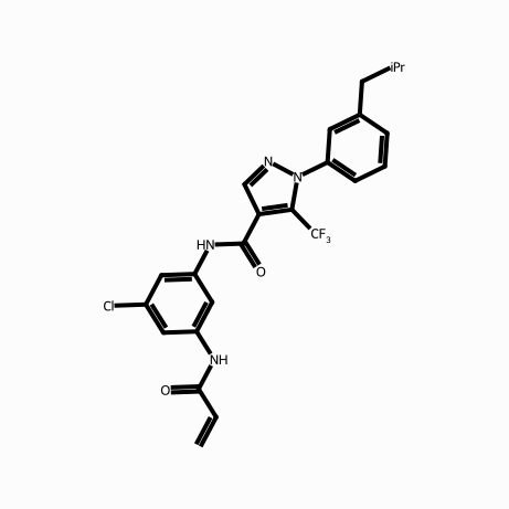 C=CC(=O)Nc1cc(Cl)cc(NC(=O)c2cnn(-c3cccc(CC(C)C)c3)c2C(F)(F)F)c1